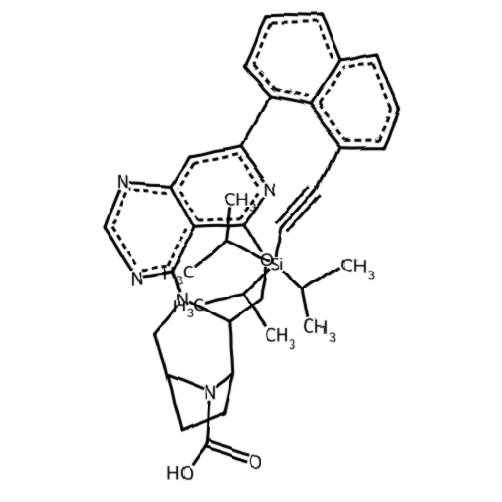 CC(C)[Si](C#Cc1cccc2cccc(-c3cc4ncnc5c4c(n3)OCC3C4CCC(CN53)N4C(=O)O)c12)(C(C)C)C(C)C